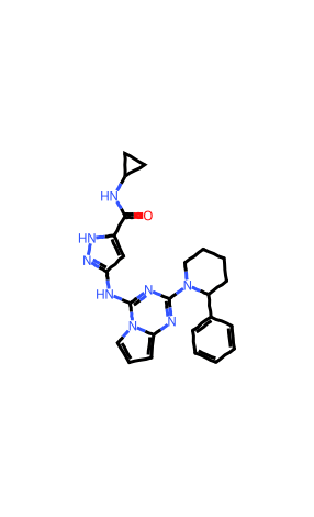 O=C(NC1CC1)c1cc(Nc2nc(N3CCCCC3c3ccccc3)nc3cccn23)n[nH]1